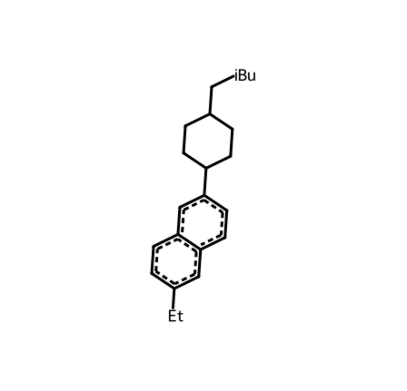 CCc1ccc2cc(C3CCC(CC(C)CC)CC3)ccc2c1